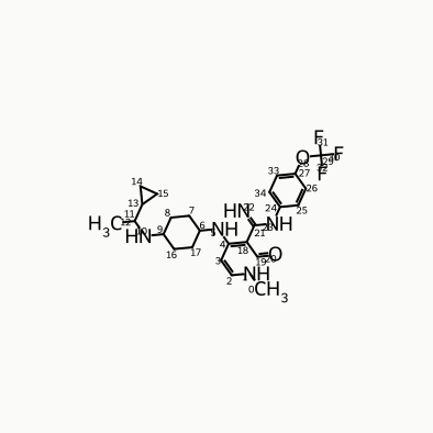 CN/C=C\C(NC1CCC(NC(C)C2CC2)CC1)=C(/C=O)C(=N)Nc1ccc(OC(F)(F)F)cc1